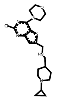 Clc1nc(N2CCOCC2)c2sc(CNCC3CCN(C4CC4)CC3)cc2n1